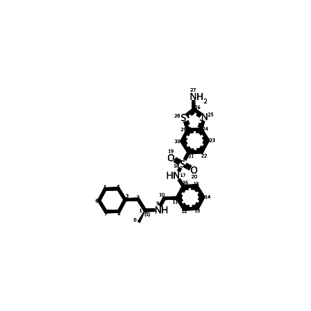 C[C@@H](CC1CCCCC1)NCc1ccccc1NS(=O)(=O)c1ccc2nc(N)sc2c1